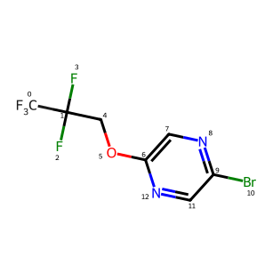 FC(F)(F)C(F)(F)COc1cnc(Br)cn1